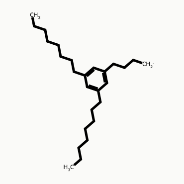 [CH2]CCCc1cc(CCCCCCCC)cc(CCCCCCCC)c1